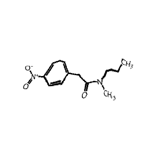 CCCN(C)C(=O)Cc1ccc([N+](=O)[O-])cc1